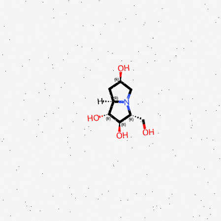 OC[C@@H]1[C@@H](O)[C@H](O)[C@H]2C[C@@H](O)CN12